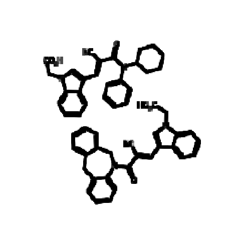 N#C/C(=C\c1cn(CC(=O)O)c2ccccc12)C(=O)N(c1ccccc1)C1CCCCC1.N#C/C(=C\c1cn(CC(=O)O)c2ccccc12)C(=O)N1Cc2ccccc2Cc2ccccc21